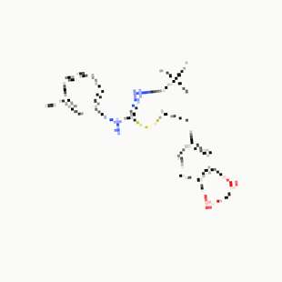 Cc1cccc(Nc2nc(C(C)(C)C)c(Cc3ccc4c(c3)OCO4)s2)c1